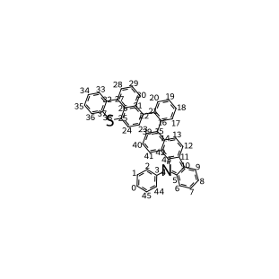 c1ccc(-n2c3ccccc3c3ccc4c(-c5ccccc5-c5ccc6c7c(cccc57)-c5ccccc5S6)cccc4c32)cc1